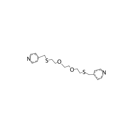 c1cc(CSCCOCCOCCSCc2ccncc2)ccn1